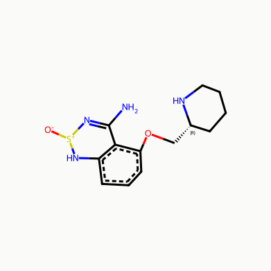 NC1=N[S+]([O-])Nc2cccc(OC[C@H]3CCCCN3)c21